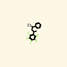 CCC(CC(C)c1c(F)c(F)c(F)c(F)c1F)c1ccccc1